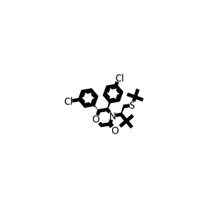 CC(C)(C)SC[C@H](N1C(=O)CO[C@H](c2cccc(Cl)c2)[C@H]1c1ccc(Cl)cc1)C(C)(C)C